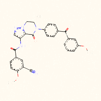 COc1cccc(C(=O)c2ccc(N3C(=O)c4c(NC(=O)c5ccc(OC)c(C#N)c5)cnn4C[C@@H]3C)cc2)c1